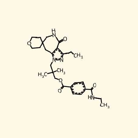 CCNC(=O)c1ccc(C(=O)OCC(C)(C)Cn2nc(CC)c3c2CC2(CCOCC2)CNC3=O)cc1